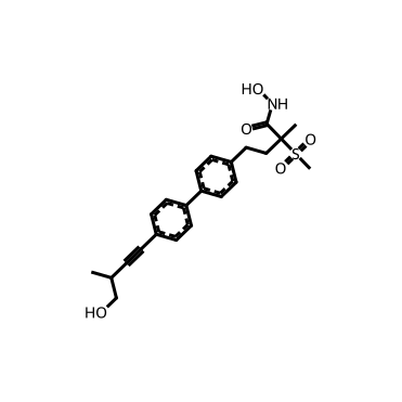 CC(C#Cc1ccc(-c2ccc(CCC(C)(C(=O)NO)S(C)(=O)=O)cc2)cc1)CO